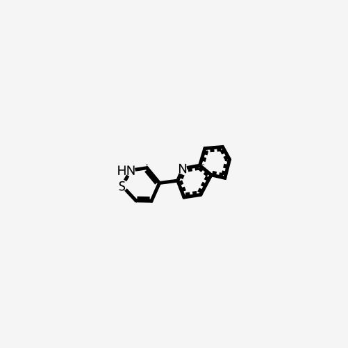 [C]1=C(c2ccc3ccccc3n2)C=CSN1